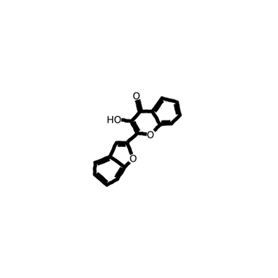 O=c1c(O)c(-c2cc3ccccc3o2)oc2ccccc12